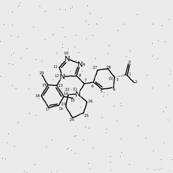 C=C(C)[C@@H]1CC=C(C(c2nncn2-c2c(C)cccc2C)N2CCCCC2)CC1